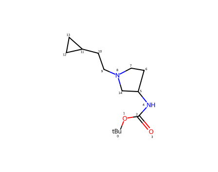 CC(C)(C)OC(=O)NC1CCN(CCC2CC2)C1